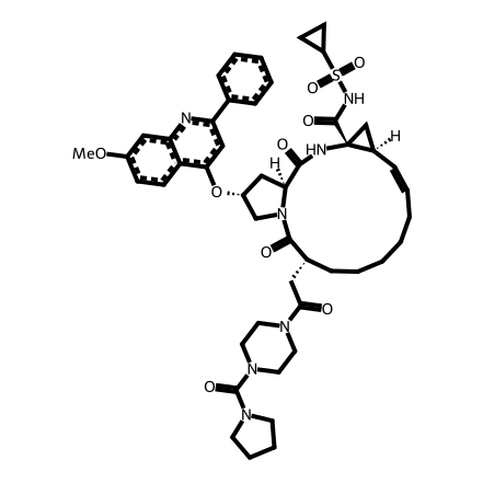 COc1ccc2c(O[C@@H]3C[C@H]4C(=O)N[C@]5(C(=O)NS(=O)(=O)C6CC6)C[C@H]5/C=C\CCCCC[C@H](CC(=O)N5CCN(C(=O)N6CCCC6)CC5)C(=O)N4C3)cc(-c3ccccc3)nc2c1